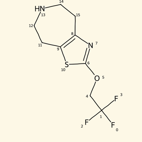 FC(F)(F)COc1nc2c(s1)CCNCC2